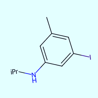 Cc1cc(I)cc(NC(C)C)c1